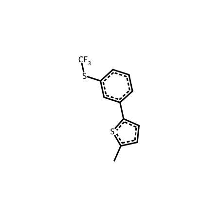 Cc1ccc(-c2cccc(SC(F)(F)F)c2)s1